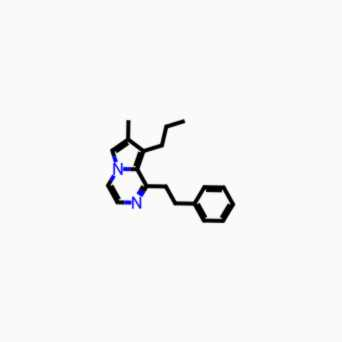 CCCc1c(C)cn2ccnc(CCc3ccccc3)c12